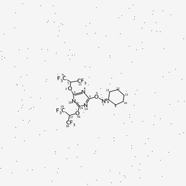 FC(F)(F)C(Oc1nc(ON=C2CCCCC2)nc(OC(C(F)(F)F)C(F)(F)F)n1)C(F)(F)F